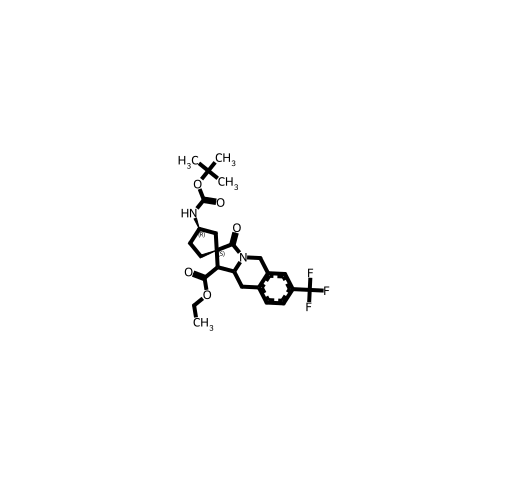 CCOC(=O)C1C2Cc3ccc(C(F)(F)F)cc3CN2C(=O)[C@]12CC[C@@H](NC(=O)OC(C)(C)C)C2